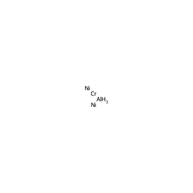 [AlH3].[Cr].[Ni].[Ni]